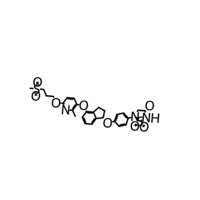 Cc1nc(OCCCS(C)(=O)=O)ccc1Oc1cccc2c1CC[C@H]2Oc1ccc(N2CC(=O)NS2(=O)=O)cc1